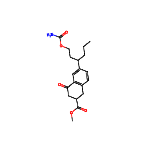 CCCC(CCOC(N)=O)c1ccc2c(c1)C(=O)CC(C(=O)OC)C2